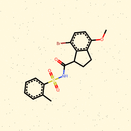 COc1ccc(Br)c2c1CCC2C(=O)NS(=O)(=O)c1ccccc1C